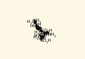 CC1(C)[C@H](NC(=O)/C(=N\O[C@](C)(C(=O)O)[C@H]2CCc3cc(C(=N)N[C@H]4C[C@@](C)(N)C4)ccc3O2)c2csc(N)n2)C(=O)N1OS(=O)(=O)O